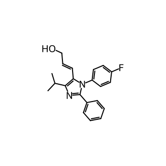 CC(C)c1nc(-c2ccccc2)n(-c2ccc(F)cc2)c1C=CCO